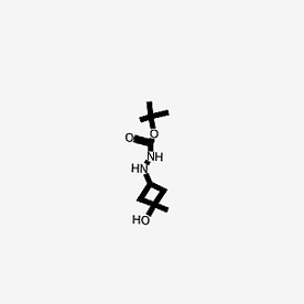 CC1(O)CC(NNC(=O)OC(C)(C)C)C1